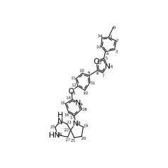 Cc1ccc(-c2ncc(-c3ccc(Oc4ccc(N5CCCC56CNCNC6)cn4)cc3)o2)cc1